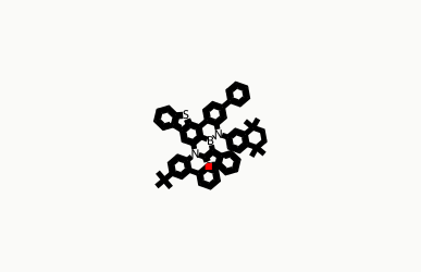 CC(C)(C)c1ccc(N2c3cc4c(sc5ccccc54)c4c3B(c3c2sc2ccccc32)N(c2ccc3c(c2)C(C)(C)CCC3(C)C)c2cc(-c3ccccc3)ccc2-4)c(-c2ccccc2)c1